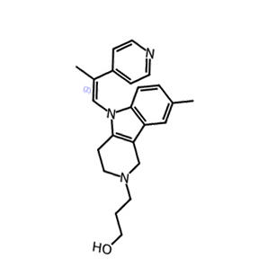 C/C(=C/n1c2c(c3cc(C)ccc31)CN(CCCO)CC2)c1ccncc1